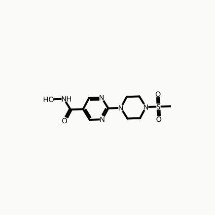 CS(=O)(=O)N1CCN(c2ncc(C(=O)NO)cn2)CC1